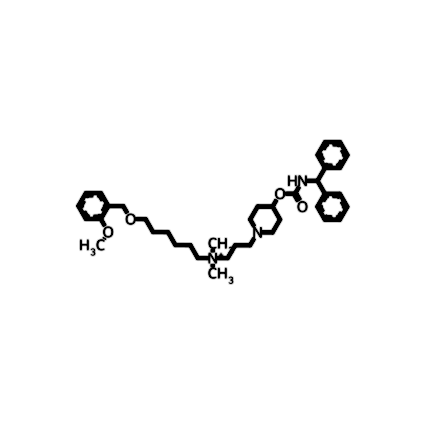 COc1ccccc1COCCCCCC[N+](C)(C)CCCN1CCC(OC(=O)NC(c2ccccc2)c2ccccc2)CC1